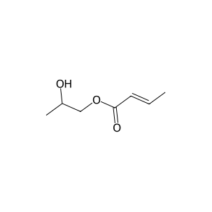 CC=CC(=O)OCC(C)O